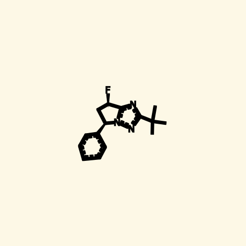 CC(C)(C)c1nc2n(n1)[C@@H](c1ccccc1)C[C@H]2F